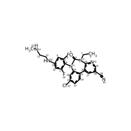 CCN1C(=O)N(c2c(F)cc(NCCNC)cc2F)c2cc(Cl)ccc2-c2cc(C#N)cnc21